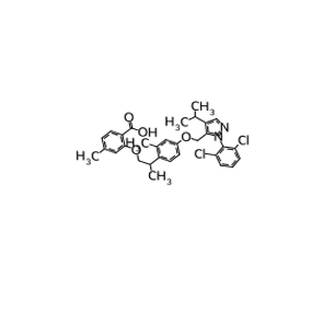 Cc1ccc(C(=O)O)c(OCC(C)c2ccc(OCc3c(C(C)C)cnn3-c3c(Cl)cccc3Cl)cc2C)c1